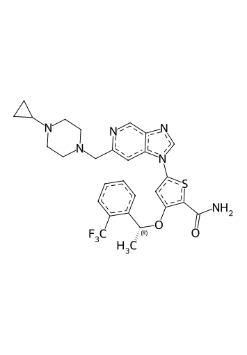 C[C@@H](Oc1cc(-n2cnc3cnc(CN4CCN(C5CC5)CC4)cc32)sc1C(N)=O)c1ccccc1C(F)(F)F